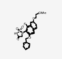 COCCOc1ccc2cc(OCc3ccccc3)c(N3CC(=O)NS3(=O)=O)c(F)c2c1